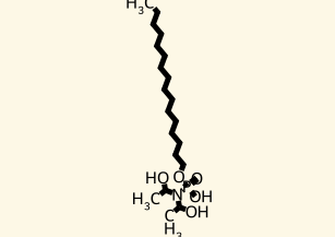 CCCCCCCCCCCCCCCCOP(=O)(O)N(C(C)O)C(C)O